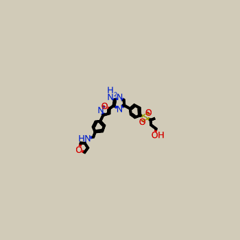 CC(CCO)S(=O)(=O)c1ccc(-c2cnc(N)c(-c3cc(-c4ccc(CN[C@H]5CCOC5)cc4)no3)n2)cc1